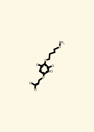 Cl.NOCCCCOc1c(Cl)cc(OCC=C(Cl)Cl)cc1Cl